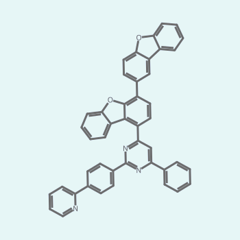 c1ccc(-c2cc(-c3ccc(-c4ccc5oc6ccccc6c5c4)c4oc5ccccc5c34)nc(-c3ccc(-c4ccccn4)cc3)n2)cc1